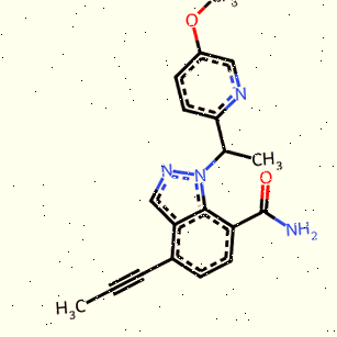 CC#Cc1ccc(C(N)=O)c2c1cnn2C(C)c1ccc(OC(F)(F)F)cn1